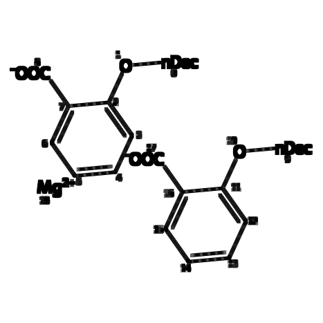 CCCCCCCCCCOc1ccccc1C(=O)[O-].CCCCCCCCCCOc1ccccc1C(=O)[O-].[Mg+2]